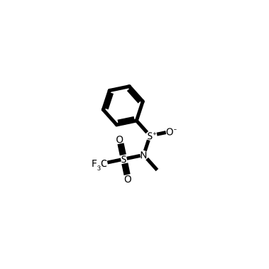 CN([S+]([O-])c1ccccc1)S(=O)(=O)C(F)(F)F